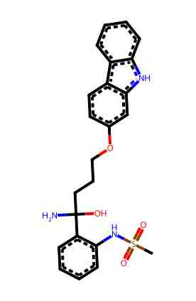 CS(=O)(=O)Nc1ccccc1C(N)(O)CCCOc1ccc2c(c1)[nH]c1ccccc12